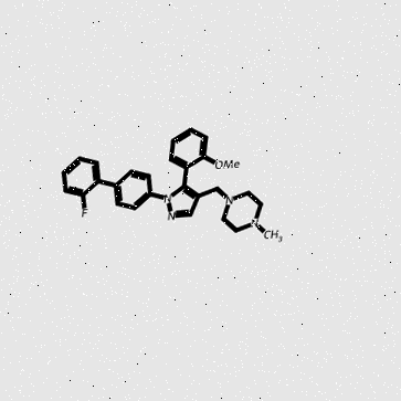 COc1ccccc1-c1c(CN2CCN(C)CC2)cnn1-c1ccc(-c2ccccc2F)cc1